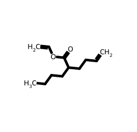 C=CCCC(CCCC)C(=O)OC=C